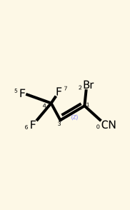 N#C/C(Br)=C/C(F)(F)F